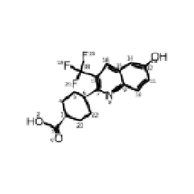 O=C(O)[C@H]1CC[C@@H](c2nc3ccc(O)cc3cc2C(F)(F)F)CC1